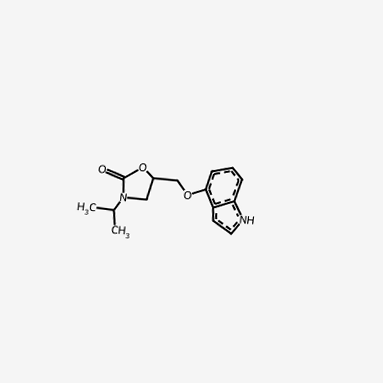 CC(C)N1CC(COc2cccc3[nH]ccc23)OC1=O